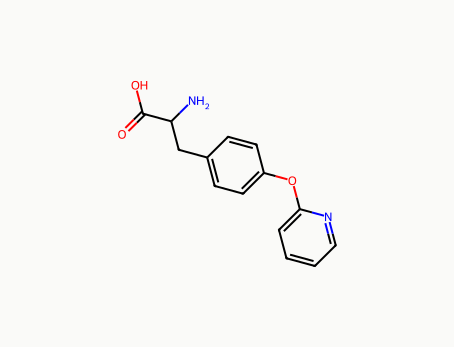 NC(Cc1ccc(Oc2ccccn2)cc1)C(=O)O